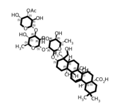 CC(=O)O[C@@H]1[C@@H](O)[C@H](O[C@@H]2[C@@H](O)[C@H](C)O[C@@H](O[C@H]3[C@H](O[C@H]4CC[C@@]5(C)[C@@H](CC[C@]6(C)[C@@H]5CC=C5[C@@H]7CC(C)(C)CC[C@]7(C(=O)O)CC[C@]56C)[C@]4(C)CO)O[C@@H](C)[C@H](O)[C@H]3O)[C@@H]2O)OC[C@@H]1O